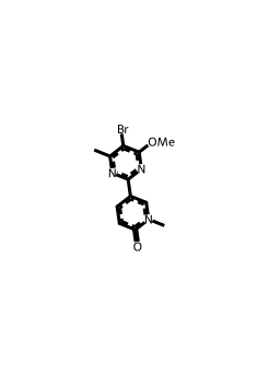 COc1nc(-c2ccc(=O)n(C)c2)nc(C)c1Br